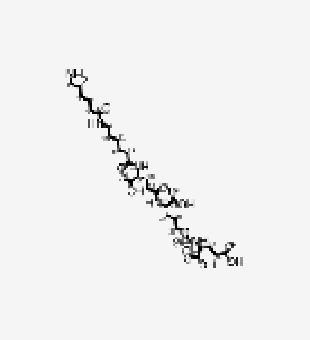 NCCCCCC(=O)NCCCCCC(=O)N[C@@H](CCC(=O)N[C@@H](CCCOP(=O)(O)N[C@@H](CCC(=O)O)C(=O)O)C(=O)O)C(=O)O